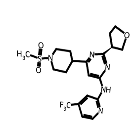 CS(=O)(=O)N1CCC(c2cc(Nc3cc(C(F)(F)F)ccn3)nc([C@H]3CCOC3)n2)CC1